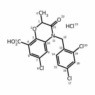 CC1Oc2c(C(=O)O)cc(Cl)cc2N(Cc2ccc(Cl)cc2Cl)C1=O.Cl